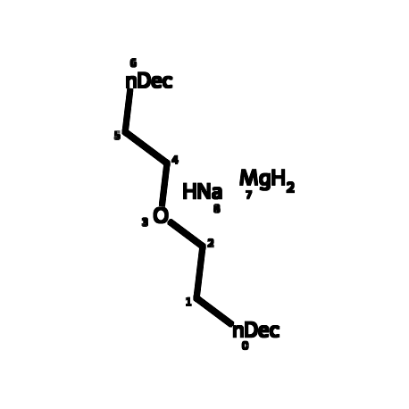 CCCCCCCCCCCCOCCCCCCCCCCCC.[MgH2].[NaH]